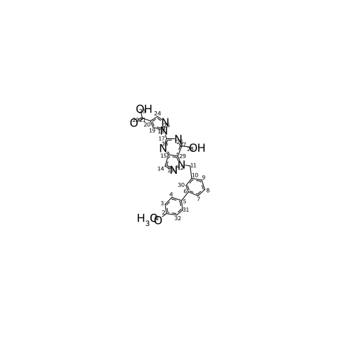 COc1ccc(-c2cccc(Cn3ncc4nc(-n5cc(C(=O)O)cn5)nc(O)c43)c2)cc1